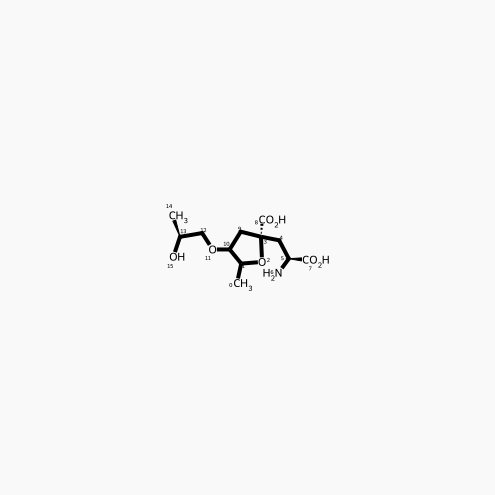 CC1O[C@@](C[C@H](N)C(=O)O)(C(=O)O)CC1OC[C@H](C)O